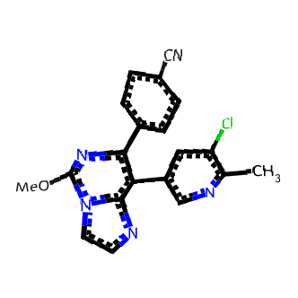 COc1nc(-c2ccc(C#N)cc2)c(-c2cnc(C)c(Cl)c2)c2nccn12